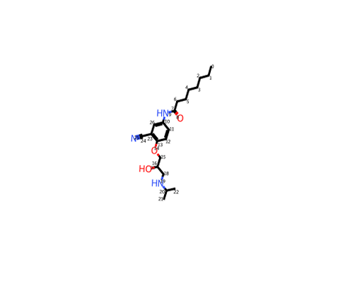 CCCCCCCC(=O)Nc1ccc(OCC(O)CNC(C)C)c(C#N)c1